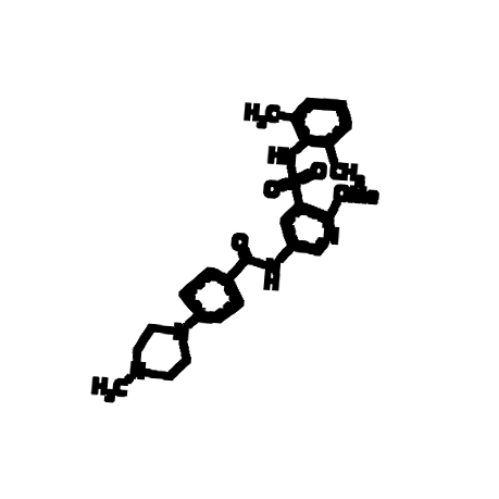 COc1ncc(NC(=O)c2ccc(N3CCN(C)CC3)cc2)cc1S(=O)(=O)Nc1c(C)cccc1C